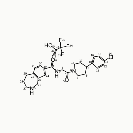 O=C(NCC(=O)N1CCC(c2ccc(Cl)cc2)CC1)c1ccc2c(c1)CNCCC2.O=C(O)C(F)(F)F